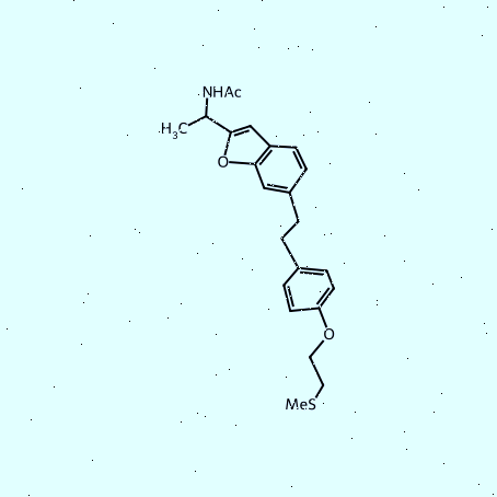 CSCCOc1ccc(CCc2ccc3cc(C(C)NC(C)=O)oc3c2)cc1